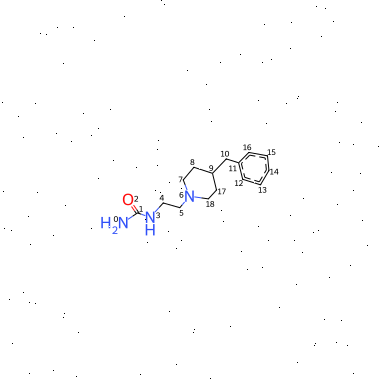 NC(=O)NCCN1CCC(Cc2ccccc2)CC1